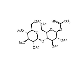 CC(=O)OC[C@H]1O[C@@H](O[C@H]2[C@H](OC(C)=O)[C@@H](OC(C)=O)[C@H](OC(=N)C(Cl)(Cl)Cl)O[C@@H]2COC(C)=O)[C@H](OC(C)=O)[C@@H](OC(C)=O)[C@@H]1OC(C)=O